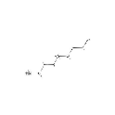 CCCONCCO[NH]